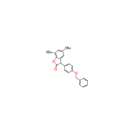 CC(C)(C)c1cc2c(c(C(C)(C)C)c1)OC(=O)C2c1ccc(OCc2ccccc2)cc1